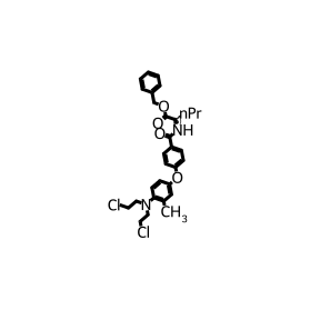 CCC[C@H](NC(=O)c1ccc(Oc2ccc(N(CCCl)CCCl)c(C)c2)cc1)C(=O)OCc1ccccc1